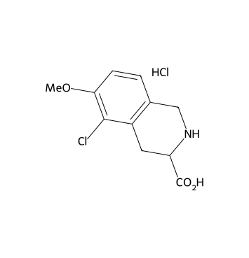 COc1ccc2c(c1Cl)CC(C(=O)O)NC2.Cl